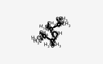 CCOP(C)(=O)c1cc(C#Cc2ccc(OC)c(N(CC)CC)c2)cc(CN2CCNCCN(Cc3cc(C#Cc4ccc(OC)c(N(CC)CC)c4)cc(P(C)(C)=O)n3)CC2)n1